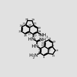 N=C(Nc1c(N)cc2c3c(cccc13)CC2)Nc1c(N)cc2c3c(cccc13)CC2